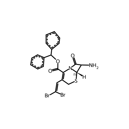 NC1C(=O)N2C(C(=O)OC(c3ccccc3)c3ccccc3)=C(C=C(Br)Br)CS[C@@H]12